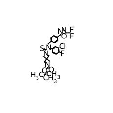 CC(C)(C)OC(=O)N1CC2(C1)CN(C(=S)N(Cc1ccc(-c3nnc(C(F)F)o3)cc1)c1ccc(F)c(Cl)c1)C2